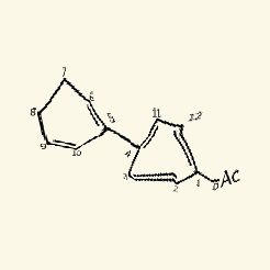 CC(=O)c1ccc(C2=CCCC=C2)cc1